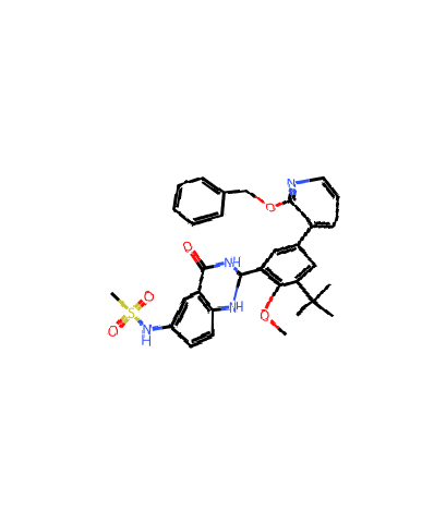 COc1c(C2NC(=O)c3cc(NS(C)(=O)=O)ccc3N2)cc(-c2cccnc2OCc2ccccc2)cc1C(C)(C)C